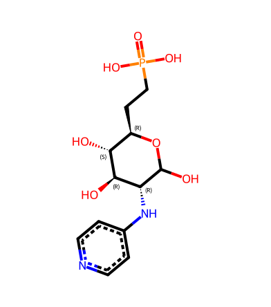 O=P(O)(O)CC[C@H]1OC(O)[C@H](Nc2ccncc2)[C@@H](O)[C@@H]1O